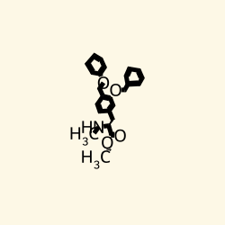 CCOC(=O)[C@H](Cc1ccc(COc2ccccc2)c(OCc2ccccc2)c1)NC